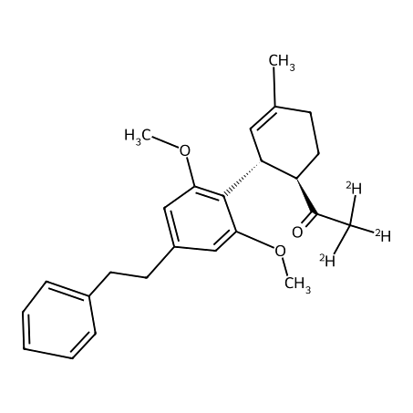 [2H]C([2H])([2H])C(=O)[C@@H]1CCC(C)=C[C@H]1c1c(OC)cc(CCc2ccccc2)cc1OC